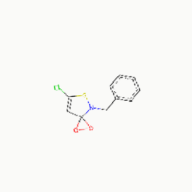 ClC1=CC2(OO2)N(Cc2ccccc2)S1